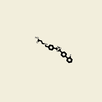 O=C(O)CCNCc1ccc(-c2noc(-c3ccc(-c4ccccc4F)cc3)n2)cc1